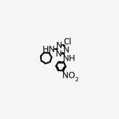 O=[N+]([O-])c1cccc(Nc2nc(Cl)nc(NC3CCCCCC3)n2)c1